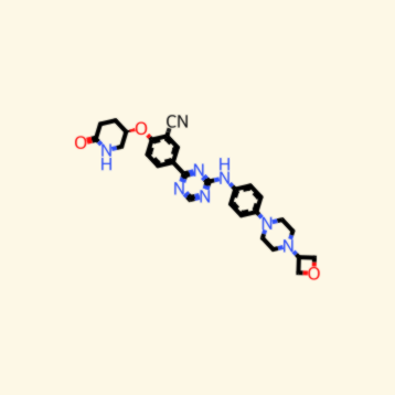 N#Cc1cc(-c2ncnc(Nc3ccc(N4CCN(C5COC5)CC4)cc3)n2)ccc1O[C@@H]1CCC(=O)NC1